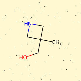 CC1(CO)CNC1